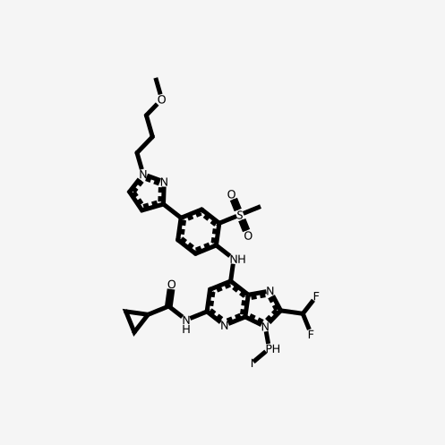 COCCCn1ccc(-c2ccc(Nc3cc(NC(=O)C4CC4)nc4c3nc(C(F)F)n4PI)c(S(C)(=O)=O)c2)n1